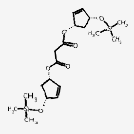 C[Si](C)(C)O[C@H]1C=C[C@@H](OC(=O)CC(=O)O[C@@H]2C=C[C@H](O[Si](C)(C)C)C2)C1